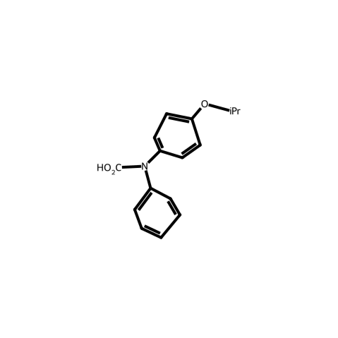 CC(C)Oc1ccc(N(C(=O)O)c2ccccc2)cc1